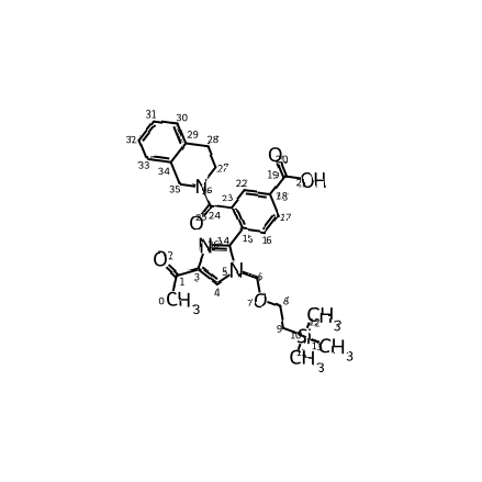 CC(=O)c1cn(COCC[Si](C)(C)C)c(-c2ccc(C(=O)O)cc2C(=O)N2CCc3ccccc3C2)n1